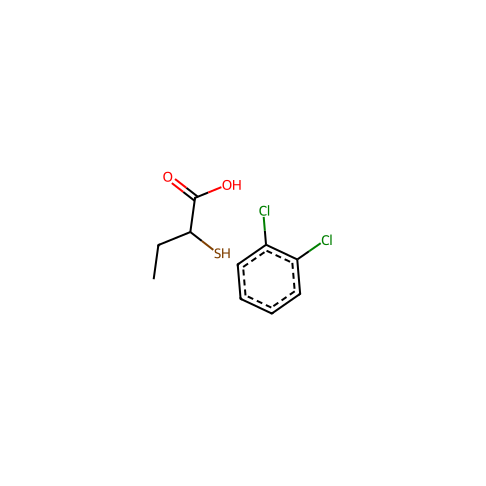 CCC(S)C(=O)O.Clc1ccccc1Cl